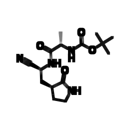 C[C@H](NC(=O)OC(C)(C)C)C(=O)N[C@H](C#N)C[C@@H]1CCNC1=O